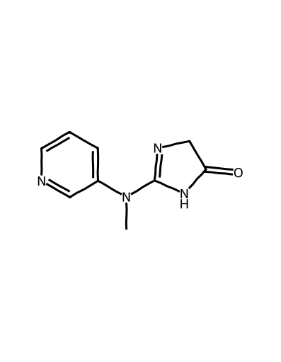 CN(C1=NCC(=O)N1)c1cccnc1